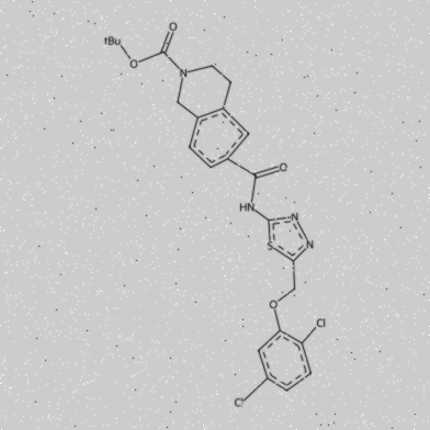 CC(C)(C)OC(=O)N1CCc2cc(C(=O)Nc3nnc(COc4cc(Cl)ccc4Cl)s3)ccc2C1